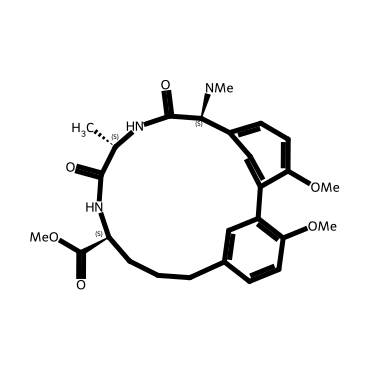 CN[C@@H]1C(=O)N[C@@H](C)C(=O)N[C@H](C(=O)OC)CCCc2ccc(OC)c(c2)-c2cc1ccc2OC